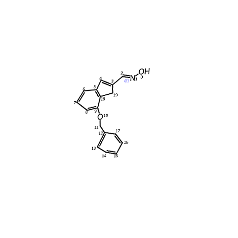 O/N=C/C1=Cc2cccc(OCc3ccccc3)c2C1